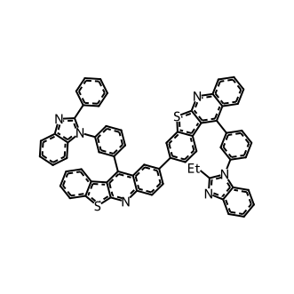 CCc1nc2ccccc2n1-c1cccc(-c2c3ccccc3nc3sc4cc(-c5ccc6nc7sc8ccccc8c7c(-c7cccc(-n8c(-c9ccccc9)nc9ccccc98)c7)c6c5)ccc4c23)c1